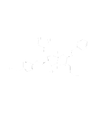 COc1ccc(CO[C@@H]2[C@@H](C)[C@@H]3O[C@H](CCO)[C@H](OCc4ccccc4)C[C@@H]3O[C@H]2CC(OC)OC)cc1